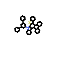 c1ccc(-c2cc(-c3ccccc3)cc(-n3c4ccccc4c4c5c6ccccc6c6ccccc6c5c5c6ccccc6sc5c43)c2)cc1